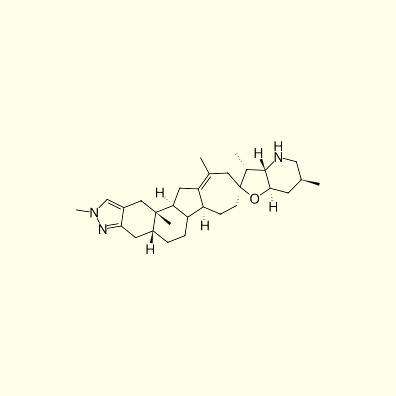 CC1=C2C[C@H]3C(CC[C@@H]4Cc5nn(C)cc5C[C@@]43C)[C@@H]2CC[C@@]2(C1)O[C@@H]1C[C@H](C)CN[C@H]1[C@H]2C